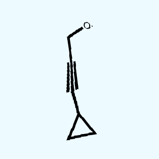 [O]CC#CC1CC1